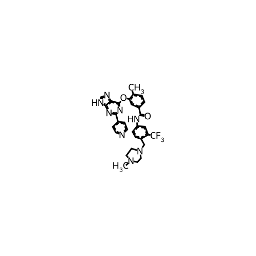 Cc1ccc(C(=O)Nc2ccc(CN3CCN(C)CC3)c(C(F)(F)F)c2)cc1Oc1nc(-c2ccncc2)nc2[nH]cnc12